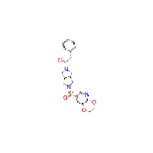 O=C(Cc1ccccc1)N1CC2=C(C1)CN([S+]([O-])c1cnc3c(c1)OCCO3)C2